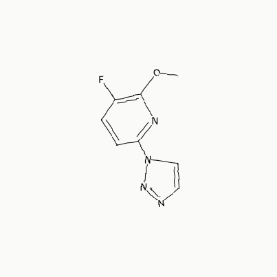 COc1nc(-n2ccnn2)ccc1F